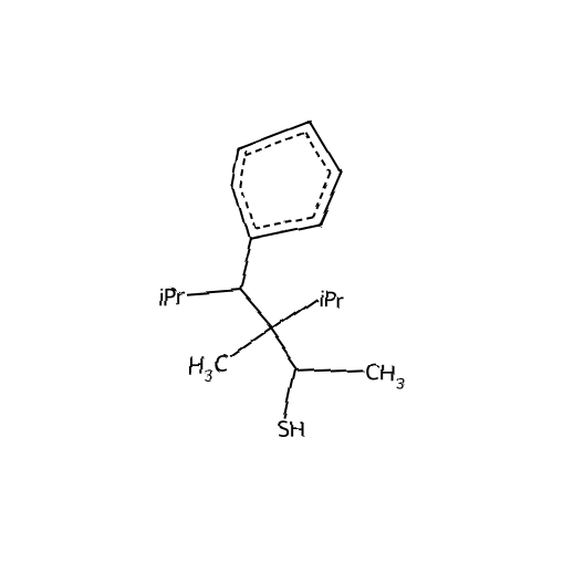 CC(C)C(c1ccccc1)C(C)(C(C)C)C(C)S